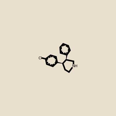 Clc1ccc([C@@H]2CCNC[C@@H]2c2ccccc2)cc1